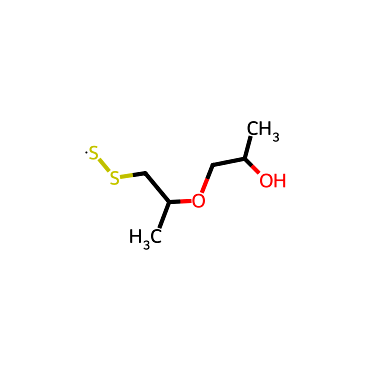 CC(O)COC(C)CS[S]